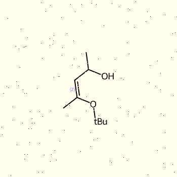 C/C(=C/C(C)O)OC(C)(C)C